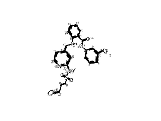 O=C(Nc1cccc(C(F)(F)F)c1)c1ccccc1NCc1ccnc(NS(=O)(=O)CCCCl)c1